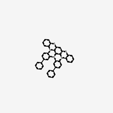 c1ccc(-c2ccc3c(c2)n2c4cc(-c5ccccc5)ccc4n4c5ccccc5sc5cc6sc7ccccc7n3c6c2c54)cc1